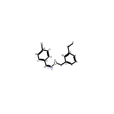 CCc1cccc(CO/N=[C]\c2ccc(C)cc2)c1